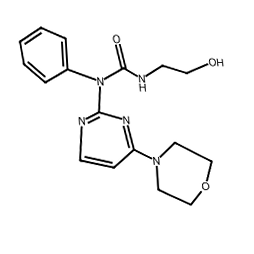 O=C(NCCO)N(c1ccccc1)c1nccc(N2CCOCC2)n1